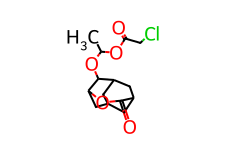 CC(OC(=O)CCl)OC1C2CC3CC(C2)C(=O)OC1C3